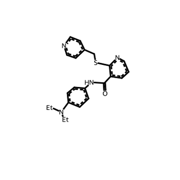 CCN(CC)c1ccc(NC(=O)c2cccnc2SCc2ccncc2)cc1